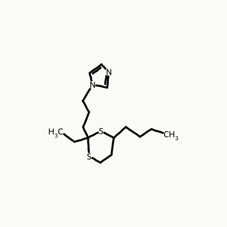 CCCCC1CCSC(CC)(CCCn2ccnc2)S1